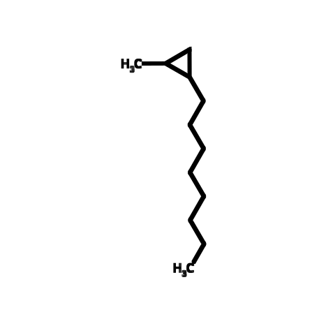 CCCCCCCCC1CC1C